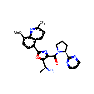 COc1ccc(-c2nc(C(=O)N3CCC[C@H]3c3ncccn3)c([C@H](C)N)o2)c2ccc(C(F)(F)F)nc12